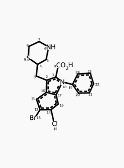 O=C(O)c1c(CC2CNCCS2)c2cc(Br)c(Cl)cc2n1-c1ccccc1